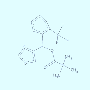 CC(C)(C)C(=O)OC(c1cncs1)c1ccccc1C(F)(F)F